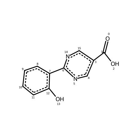 O=C(O)c1cnc(-c2ccccc2O)nc1